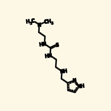 CN(C)CCNC(=S)NCCNCc1cc[nH]n1